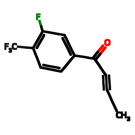 CC#CC(=O)c1ccc(C(F)(F)F)c(F)c1